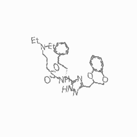 CCN(CC)CCCS(=O)(=O)N[C@H](CCc1ccccc1)c1nc(CC2COc3ccccc3O2)n[nH]1